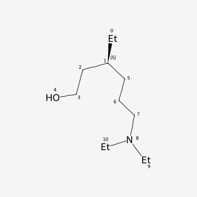 CC[C@H](CCO)CCCN(CC)CC